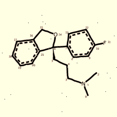 CN(C)CCC[C@]1(c2ccc(F)cc2)OCc2ccccc21